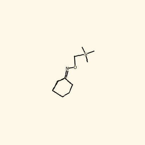 C[Si](C)(C)CON=C1CCCCC1